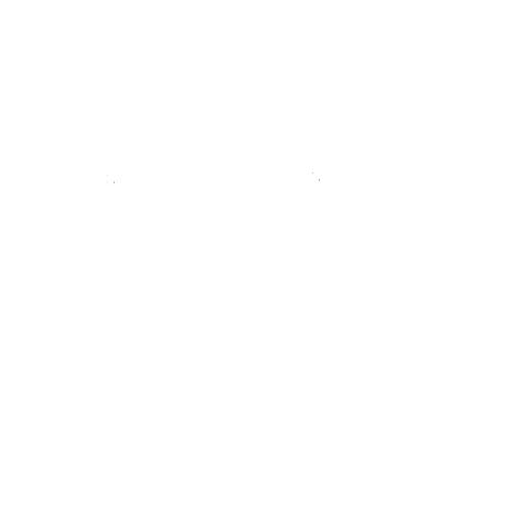 CNC(=O)c1cc2c(Sc3ccc(C)cc3)cncc2s1